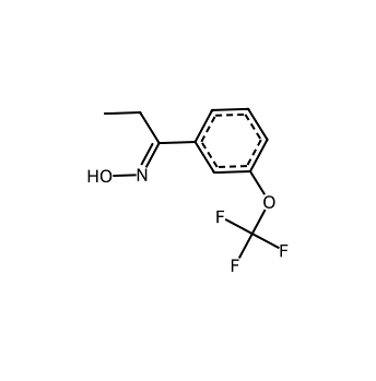 CCC(=NO)c1cccc(OC(F)(F)F)c1